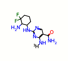 [3H]Nc1nc(NC2CCCC(F)(F)C2N)ncc1C(N)=O